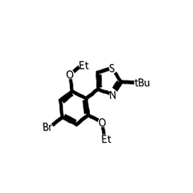 CCOc1cc(Br)cc(OCC)c1-c1csc(C(C)(C)C)n1